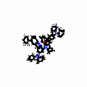 C1=CC2C(C=C1c1ccccc1)c1cc(-n3c4ccccc4c4ccccc43)cc(-n3c4ccccc4c4ccccc43)c1N2c1ccc(-c2ccc3c(c2)c2ccccc2n3-c2ccccc2)cc1